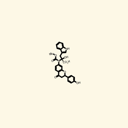 CC(C)(C)OC(=O)N(c1ccc2c(c1)OC(c1ccc(O)cc1)CC2=O)[C@@](O)(Cc1c[nH]c2ccccc12)C(=O)O